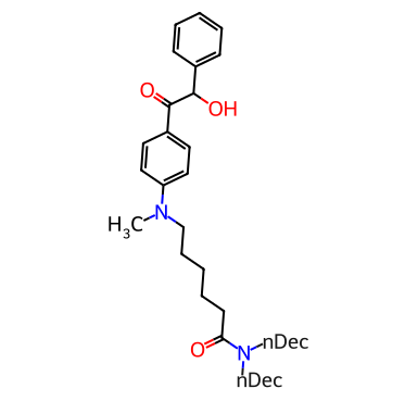 CCCCCCCCCCN(CCCCCCCCCC)C(=O)CCCCCN(C)c1ccc(C(=O)C(O)c2ccccc2)cc1